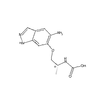 C[C@H](COc1cc2[nH]ncc2cc1N)NC(=O)O